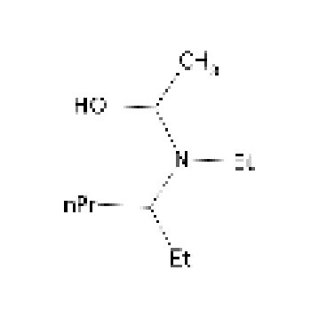 CCCC(CC)N(CC)C(C)O